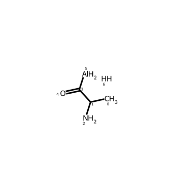 CC(N)[C](=O)[AlH2].[HH]